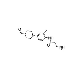 CNCCC(=O)Nc1ccc(N2CCC(C=O)CC2)cc1C